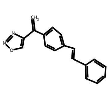 C=C(c1ccc(C=Cc2ccccc2)cc1)c1conn1